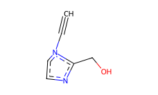 C#Cn1ccnc1CO